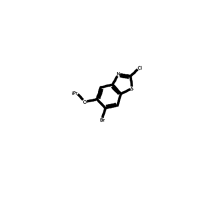 CC(C)Oc1cc2nc(Cl)sc2cc1Br